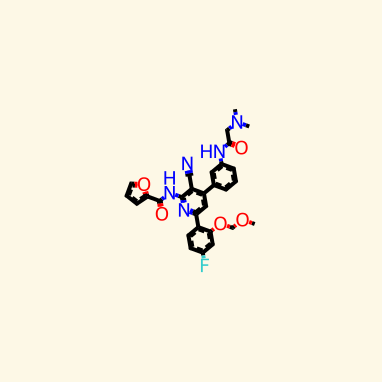 COCOc1cc(F)ccc1-c1cc(-c2cccc(NC(=O)CN(C)C)c2)c(C#N)c(NC(=O)c2ccco2)n1